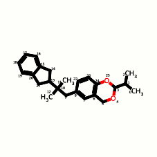 CC(C)C1OCc2cc(CC(C)(C)C3Cc4ccccc4C3)ccc2O1